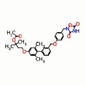 CC(=O)OC(C)(C)CCOc1cc(C)c(-c2cccc(COc3ccc(Cn4oc(=O)[nH]c4=O)cc3)c2)c(C)c1